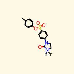 CCCN1CCN(c2ccc(S(=O)(=O)Oc3ccc(C)cc3)cc2)C1=O